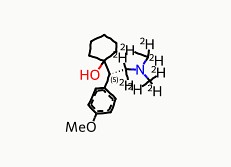 [2H]C([2H])([2H])N(C([2H])([2H])[2H])C([2H])([2H])[C@H](c1ccc(OC)cc1)C1(O)CCCCC1